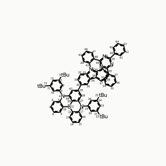 CC(C)(C)c1cc(N2c3ccccc3B3c4ccccc4N(c4cc(C(C)(C)C)cc(C(C)(C)C)c4)c4cc(-c5ccc6c(c5)c5ccccc5n6-c5ccccc5-c5nc(-c6ccccc6)nc(-c6ccccc6)n5)cc2c43)cc(C(C)(C)C)c1